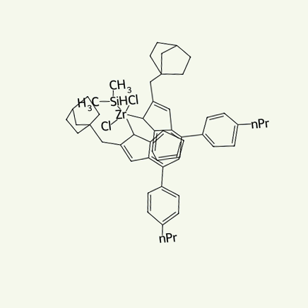 CCCc1ccc(-c2cccc3c2C=C(CC24CCC(CC2)C4)[CH]3[Zr]([Cl])([Cl])([CH]2C(CC34CCC(CC3)C4)=Cc3c(-c4ccc(CCC)cc4)cccc32)[SiH](C)C)cc1